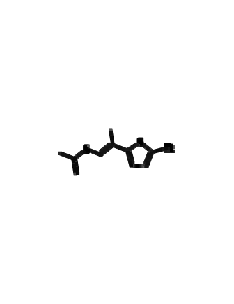 C=C(C)S/C=C(\C)c1ccc(CC)s1